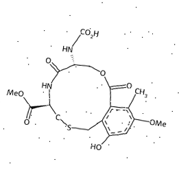 COC(=O)[C@@H]1CSCc2c(O)cc(OC)c(C)c2C(=O)OC[C@@H](NC(=O)O)C(=O)N1